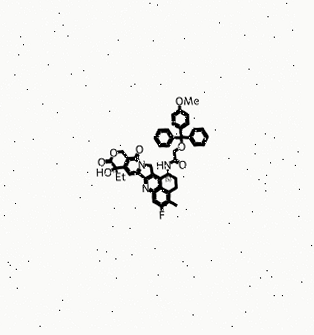 CC[C@@]1(O)C(=O)OCc2c1cc1n(c2=O)Cc2c-1nc1cc(F)c(C)c3c1c2[C@@H](NC(=O)COC(c1ccccc1)(c1ccccc1)c1ccc(OC)cc1)CC3